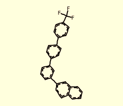 FC(F)(F)c1ccc(-c2ccc(-c3cccc(-c4ccc5ccccc5c4)c3)cc2)cc1